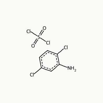 Nc1cc(Cl)ccc1Cl.O=S(=O)(Cl)Cl